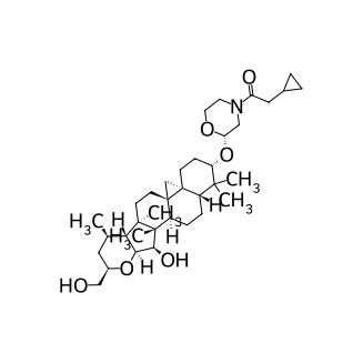 C[C@@H]1C[C@H](CO)O[C@H]2[C@H]1[C@@]1(C)CC[C@@]34C[C@@]35CC[C@H](O[C@H]3CN(C(=O)CC6CC6)CCO3)C(C)(C)[C@@H]5CC[C@H]4[C@]1(C)[C@H]2O